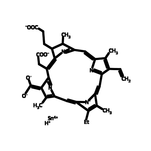 C=CC1=C(C)C2=CC3=NC(=C(CC(=O)[O-])C4=NC(=C(C)C4=C([O-])[O-])C=c4[n-]c(c(C)c4CC)=CC1=N2)C(CCC(=O)[O-])C3C.[H+].[Sn+4]